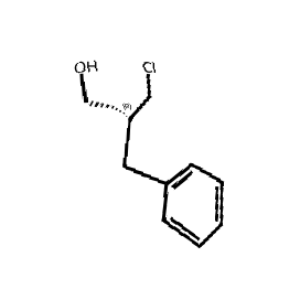 OC[C@H](CCl)Cc1ccccc1